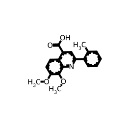 COc1ccc2c(C(=O)O)cc(-c3ccccc3C)nc2c1OC